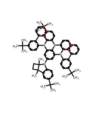 CC(C)(C)c1ccc(N2c3ccccc3B3c4ccc(C(C)(C)C)cc4N(c4ccc(C(C)(C)C)cc4-c4ccccc4)c4cc(N5c6ccc(C(C)(C)C)cc6C6(C)CCC56C)cc2c43)c(-c2ccccc2)c1